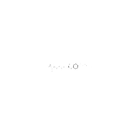 CCCCc1ccc(NC(=O)OCCCCN[S+]([O-])C(C)C)cc1